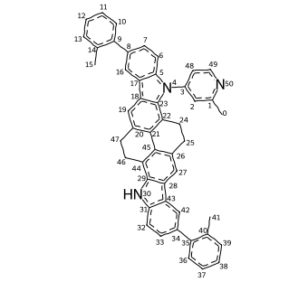 Cc1cc(-n2c3ccc(-c4ccccc4C)cc3c3cc4c5c(c32)CCc2cc3c([nH]c6ccc(-c7ccccc7C)cc63)c(c2-5)CC4)ccn1